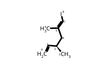 C=C[C@H](C)C/C(C)=C/I